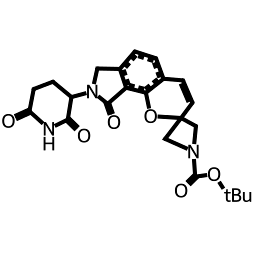 CC(C)(C)OC(=O)N1CC2(C=Cc3ccc4c(c3O2)C(=O)N(C2CCC(=O)NC2=O)C4)C1